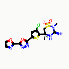 CN1C(=N)N[C@](C)(c2sc(-c3nnc(-c4ncco4)o3)cc2Cl)CS1(=O)=O